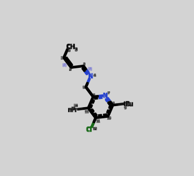 C/C=C\C=N/Cc1nc(C(C)(C)C)cc(Cl)c1CCC